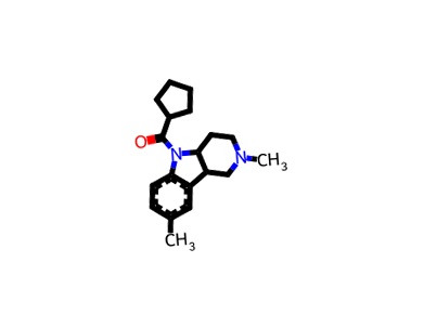 Cc1ccc2c(c1)C1CN(C)CCC1N2C(=O)C1CCCC1